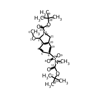 COC1c2ccc(S(=O)(=O)N(C)C(=O)OC(C)(C)C)cc2CN1C(=O)OC(C)(C)C